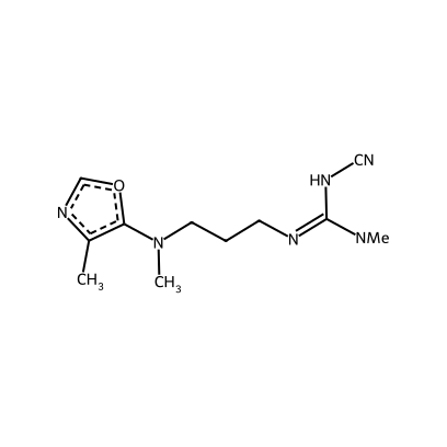 CNC(=NCCCN(C)c1ocnc1C)NC#N